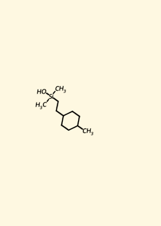 CC1CCC(CC[Si](C)(C)O)CC1